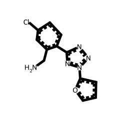 NCc1cc(Cl)ccc1-c1nnn(-c2ccco2)n1